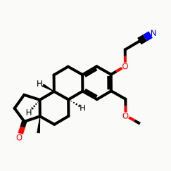 COCc1cc2c(cc1OCC#N)CC[C@@H]1[C@@H]2CC[C@]2(C)C(=O)CC[C@@H]12